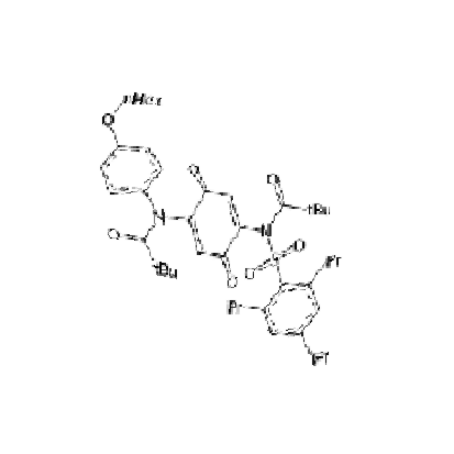 CCCCCCOc1ccc(N(C(=O)C(C)(C)C)C2=CC(=O)C(N(C(=O)C(C)(C)C)S(=O)(=O)c3c(C(C)C)cc(C(C)C)cc3C(C)C)=CC2=O)cc1